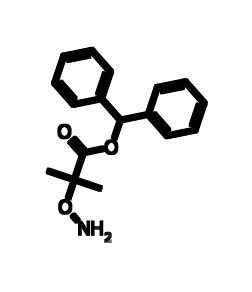 CC(C)(ON)C(=O)OC(c1ccccc1)c1ccccc1